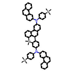 C[Si](C)(C)c1ccc(N(c2ccc3c(c2)[Si](C)(C)c2cccc4c2c-3cc2ccc(N(c3ccc([Si](C)(C)C)cc3)c3ccc5ccc6ccccc6c5c3)cc24)c2ccc3ccc4ccccc4c3c2)cc1